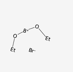 CCO[B+]OCC.[Br-]